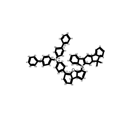 CC1(C)c2ccccc2C2=Cc3c(n(-c4cccc5c4oc4c(-c6ccc(N(c7ccc(-c8ccccc8)cc7)c7ccc(-c8ccccc8)cc7)cc6)cccc45)c4ccccc34)CC21